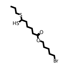 CCCSC(S)CCCCC(=O)OCCCCCBr